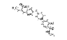 CCc1cc2ncc(CN3CCN(c4cnc(C(=O)NC)c(Cl)c4)CC3)cc2[nH]c1=O